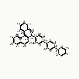 c1ccc(-c2ccc(-c3ccc(-c4nc5ccccc5c5c4ccc4ccccc45)cc3)cc2)cc1